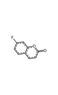 O=c1c[c]c2ccc(F)cc2o1